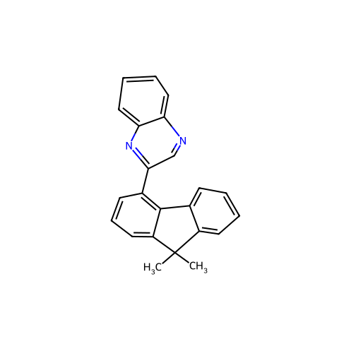 CC1(C)c2ccccc2-c2c(-c3cnc4ccccc4n3)cccc21